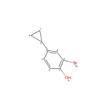 Oc1ccc(C2CC2)cc1Br